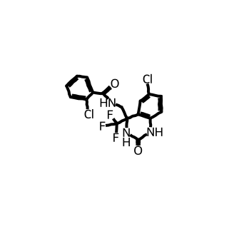 O=C1Nc2ccc(Cl)cc2C(CNC(=O)c2ccccc2Cl)(C(F)(F)F)N1